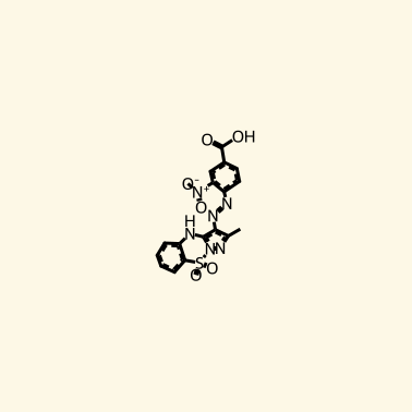 Cc1nn2c(c1/N=N/c1ccc(C(=O)O)cc1[N+](=O)[O-])Nc1ccccc1S2(=O)=O